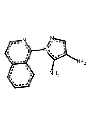 Nc1cnn(-c2nccc3ccccc23)c1N